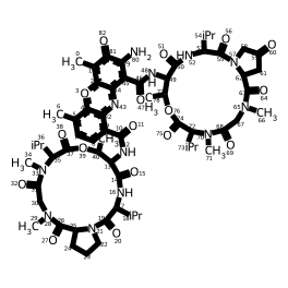 Cc1c2oc3c(C)ccc(C(=O)NC4C(=O)NC(C(C)C)C(=O)N5CCCC5C(=O)N(C)CC(=O)N(C)C(C(C)C)C(=O)OC4C)c3nc-2c(C(=O)NC2C(=O)NC(C(C)C)C(=O)N3CC(=O)CC3C(=O)N(C)CC(=O)N(C)C(C(C)C)C(=O)OC2C)c(N)c1=O